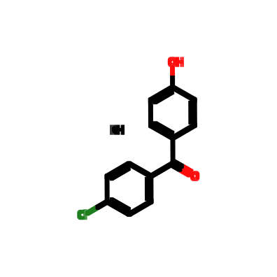 O=C(c1ccc(O)cc1)c1ccc(Cl)cc1.[KH]